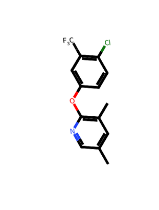 Cc1cnc(Oc2ccc(Cl)c(C(F)(F)F)c2)c(C)c1